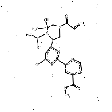 C=CC(=O)N1CC(c2cc(Cl)nc(-c3cc(C(=O)NC)ncn3)c2)N([S+](C)[O-])C(C)(C)C1